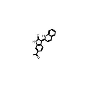 CC(=O)c1ccc2c(c1)NC(=O)/C2=C1/C=Cc2ccccc2N1